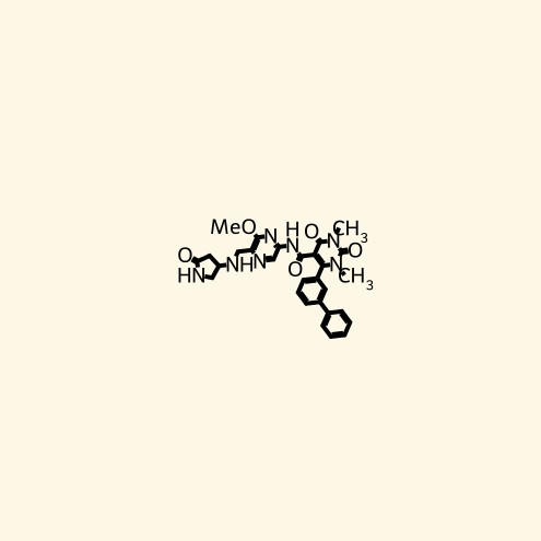 COc1nc(NC(=O)c2c(-c3cccc(-c4ccccc4)c3)n(C)c(=O)n(C)c2=O)cnc1CNC1CNC(=O)C1